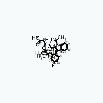 CC(C)n1c(CC[C@@H](CC(=O)O)O[Si](C)(C)C(C)(C)C)c(-c2ccc(F)cc2)c2ccccc21